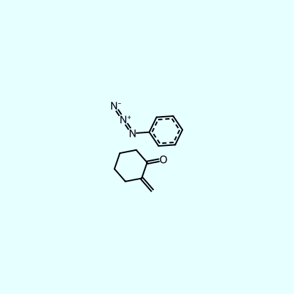 C=C1CCCCC1=O.[N-]=[N+]=Nc1ccccc1